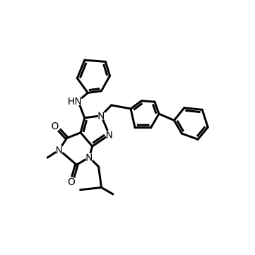 CC(C)Cn1c(=O)n(C)c(=O)c2c(Nc3ccccc3)n(Cc3ccc(-c4ccccc4)cc3)nc21